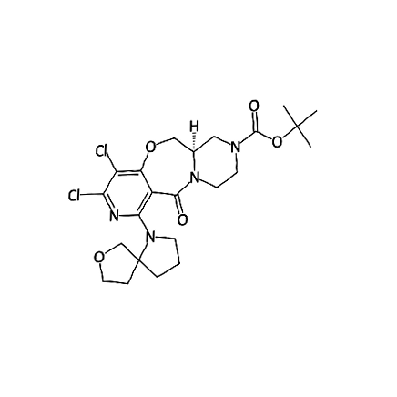 CC(C)(C)OC(=O)N1CCN2C(=O)c3c(N4CCCC45CCOC5)nc(Cl)c(Cl)c3OC[C@H]2C1